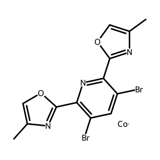 Cc1coc(-c2nc(-c3nc(C)co3)c(Br)cc2Br)n1.[Co]